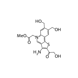 COC(=O)C[n+]1cc2c(N)c(C(=O)CO)sc2c2cc(CO)c(CO)cc21